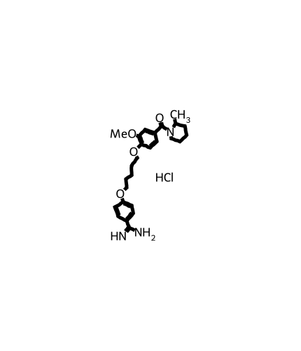 COc1cc(C(=O)N2CCCCC2C)ccc1OCCCCCOc1ccc(C(=N)N)cc1.Cl